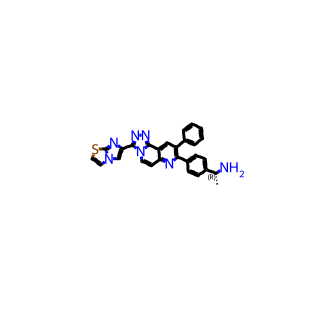 C[C@@H](N)c1ccc(-c2nc3ccn4c(-c5cn6ccsc6n5)nnc4c3cc2-c2ccccc2)cc1